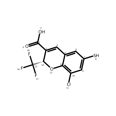 O=C(O)C1=Cc2cc(S)cc(Cl)c2O[C@@H]1C(F)(F)F